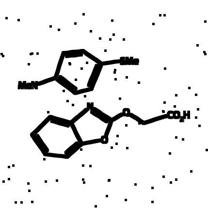 CNc1ccc(SC)cc1.O=C(O)COc1nc2ccccc2o1